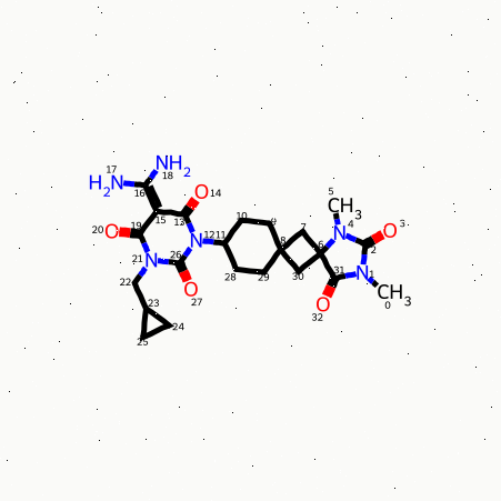 CN1C(=O)N(C)C2(CC3(CCC(N4C(=O)C(=C(N)N)C(=O)N(CC5CC5)C4=O)CC3)C2)C1=O